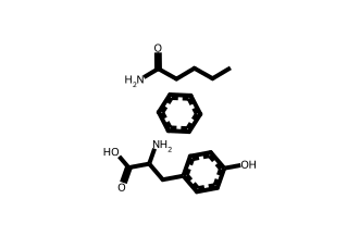 CCCCC(N)=O.NC(Cc1ccc(O)cc1)C(=O)O.c1ccccc1